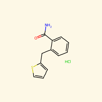 Cl.NC(=O)c1ccccc1Cc1cccs1